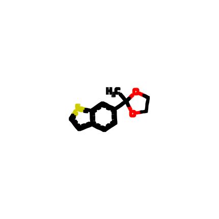 CC1(c2ccc3ccsc3c2)OCCO1